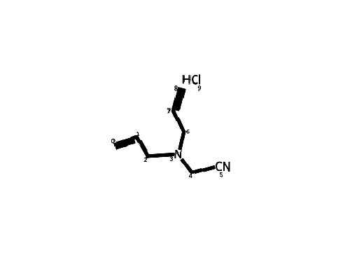 C=CCN(CC#N)CC=C.Cl